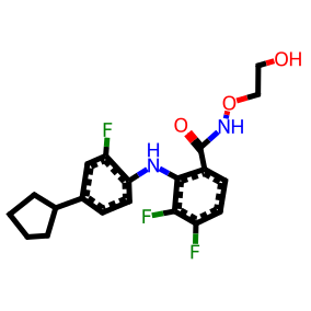 O=C(NOCCO)c1ccc(F)c(F)c1Nc1ccc(C2CCCC2)cc1F